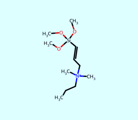 CCC[N+](C)(C)CC=C[Si](OC)(OC)OC